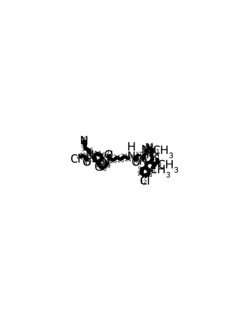 Cc1sc2c(c1C)C(c1ccc(Cl)cc1)=N[C@@H](CC(=O)NCCCCCC(=O)N1CCOc3cc(N(CCC#N)C(=O)CCl)ccc31)c1nnc(C)n1-2